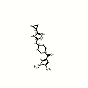 Cc1cc(C(=O)N2CCC(Cc3nc(C4CC4)no3)CC2)nn1C